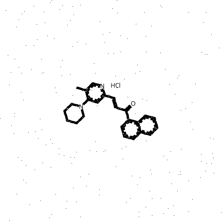 Cc1cnc(C=CC(=O)c2cccc3ccccc23)cc1N1CCCCC1.Cl